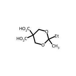 CCC1(C)OCC(C(=O)O)(C(=O)O)CO1